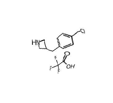 Clc1ccc(CC2CNC2)cc1.O=C(O)C(F)(F)F